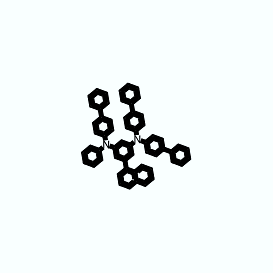 c1ccc(-c2ccc(N(c3ccccc3)c3cc(-c4cccc5ccccc45)cc(N(c4ccc(-c5ccccc5)cc4)c4ccc(-c5ccccc5)cc4)c3)cc2)cc1